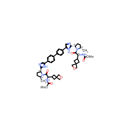 COC(=O)NC(C(=O)N1[C@@H](C)CC[C@H]1c1ncc(-c2ccc(-c3ccc(-c4cnc([C@@H]5CC[C@H](C)N5C(=O)[C@@H](NC(=O)OC)C5CC6(COC6)C5)[nH]4)cc3)cc2)[nH]1)C1CC2(COC2)C1